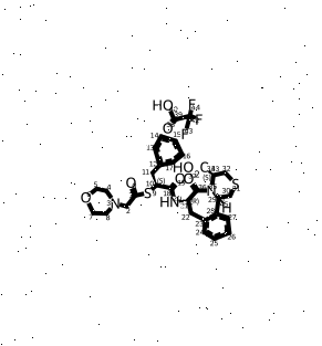 O=C(CN1CCOCC1)S[C@@H](Cc1ccccc1)C(=O)N[C@@H]1Cc2ccccc2[C@@H]2CSC[C@H](C(=O)O)N2C1=O.O=C(O)C(F)(F)F